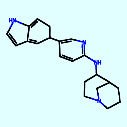 C1=c2cc[nH]c2=CCC1c1ccc(NC2CCN3CCCC2C3)nc1